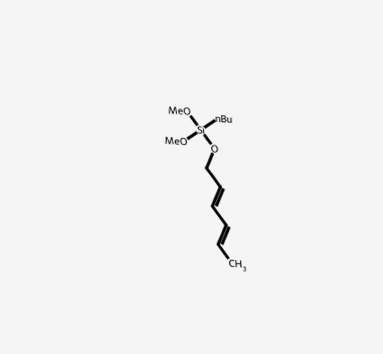 CC=CC=CCO[Si](CCCC)(OC)OC